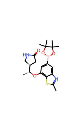 Cc1nc2cc(B3OC(C)(C)C(C)(C)O3)cc(O[C@H](C)[C@H]3CNC(=O)C3)c2s1